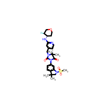 CC1(C)CN(S(C)(=O)=O)c2cc(N3C(=O)N(Cc4ccnc(N[C@H]5CCOC[C@@H]5F)c4)C(C)(C)C3=O)ccc21